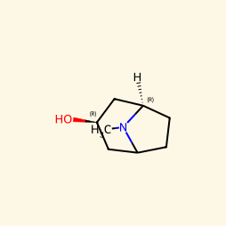 CN1C2CC[C@@H]1C[C@H](O)C2